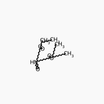 CCCCCCCCC(CCCCCCCC)OC(=O)CCCCCCCC(CCCCCCCC(=O)OCCC(C)CCCCCC)NC1CC2(COC2)C1